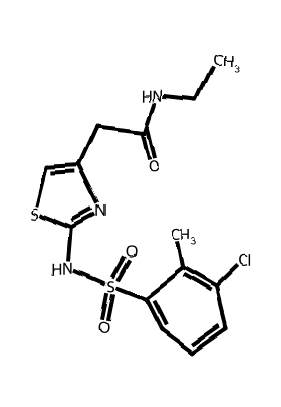 CCNC(=O)Cc1csc(NS(=O)(=O)c2cccc(Cl)c2C)n1